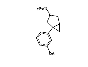 CCCCCN1CC2CC2(c2cccc(O)c2)C1